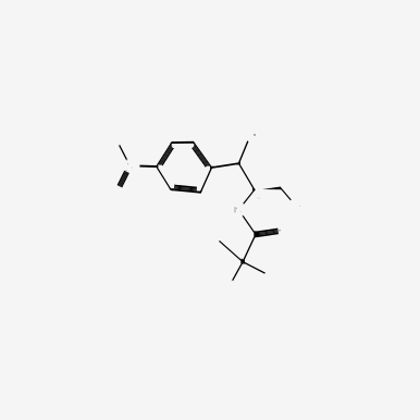 CC(C)(Cl)C(=O)N[C@H](CO)C(O)c1ccc([N+](=O)[O-])cc1